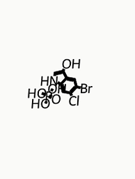 O=P(O)(O)O.Oc1c[nH]c2cc(Cl)c(Br)cc12